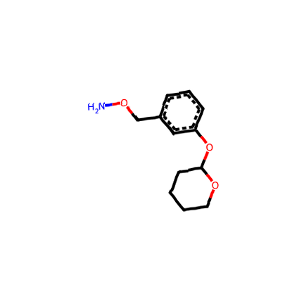 NOCc1cccc(OC2CCCCO2)c1